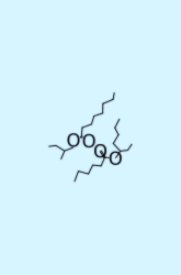 CCCCCC(=O)OC(CC)CCCC.CCCCCCCC(=O)OCC(C)CC